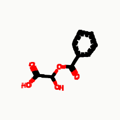 O=C(OC(O)C(=O)O)c1ccccc1